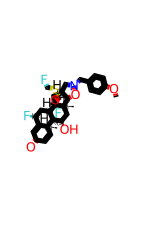 COc1ccc(CN2C[C@@H]3C[C@H]4[C@@H]5C[C@H](F)C6=CC(=O)C=C[C@]6(C)[C@@]5(F)[C@@H](O)C[C@]4(C)[C@]3(C(=O)SCF)O2)cc1